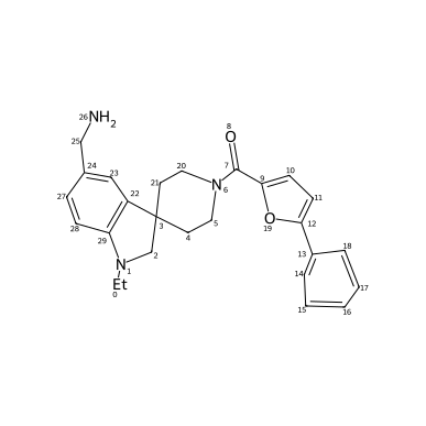 CCN1CC2(CCN(C(=O)c3ccc(-c4ccccc4)o3)CC2)c2cc(CN)ccc21